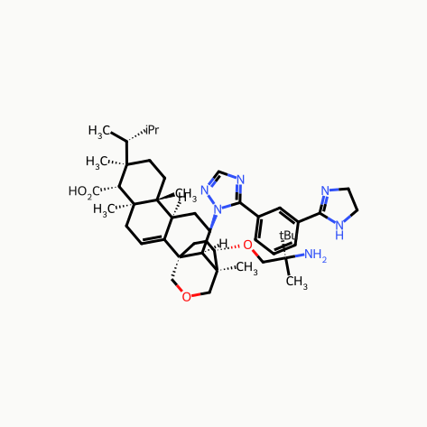 CC(C)[C@@H](C)[C@@]1(C)CC[C@]2(C)[C@H]3CC[C@@H]4[C@@]5(COC[C@]4(C)[C@@H](OC[C@](C)(N)C(C)(C)C)[C@H](n4ncnc4-c4cccc(C6=NCCN6)c4)C5)C3=CC[C@@]2(C)[C@@H]1C(=O)O